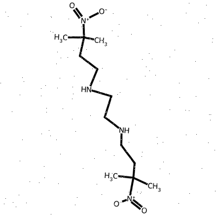 CC(C)(CCNCCNCCC(C)(C)[N+](=O)[O-])[N+](=O)[O-]